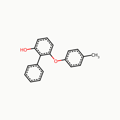 Cc1ccc(Oc2cccc(O)c2-c2ccccc2)cc1